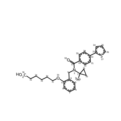 [2H]C1(N(Cc2ccccc2OCCCCCC(=O)O)C(=O)c2ccc(-c3cccs3)cc2)CC1